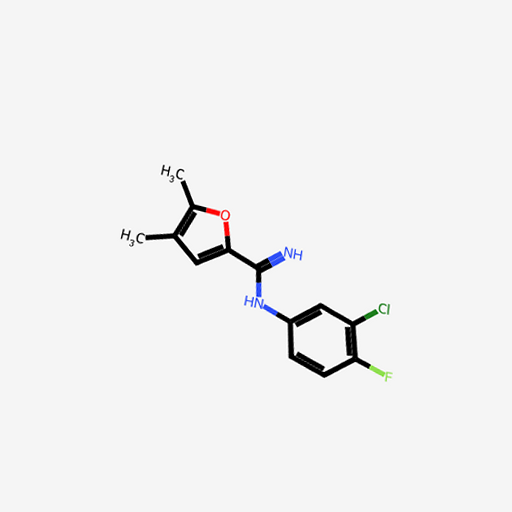 Cc1cc(C(=N)Nc2ccc(F)c(Cl)c2)oc1C